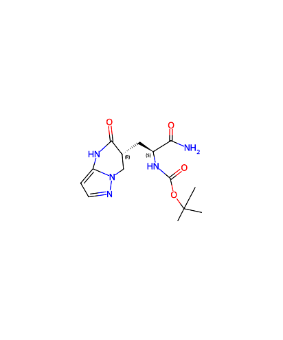 CC(C)(C)OC(=O)N[C@@H](C[C@@H]1Cn2nccc2NC1=O)C(N)=O